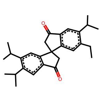 CCc1cc2c(cc1C(C)C)C(=O)CC21CC(=O)c2cc(C(C)C)c(C(C)C)cc21